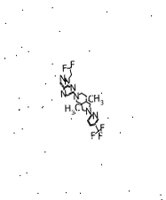 C[C@@]12CCN(c3cnc4cnn(CC(F)F)c4n3)C[C@@]1(C)CN(c1ccc(C(F)(F)F)cn1)C2